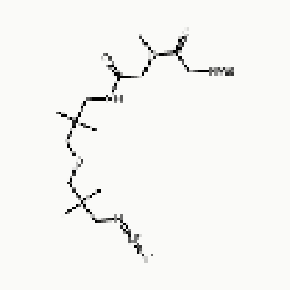 CNCC(=O)N(C)CC(=O)NCC(C)(C)COCC(C)(C)CN=[N+]=[N-]